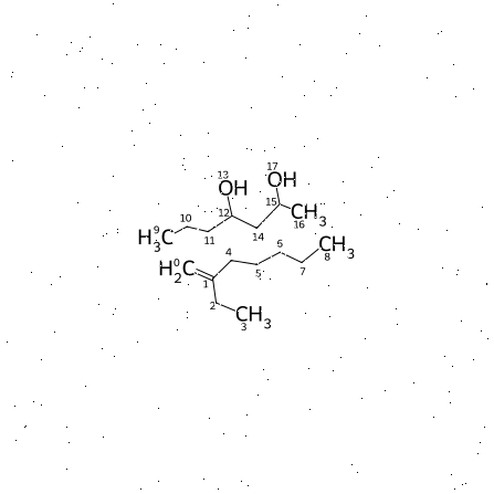 C=C(CC)CCCCC.CCCC(O)CC(C)O